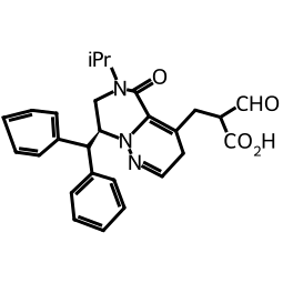 CC(C)N1C[C@H](C(c2ccccc2)c2ccccc2)N2N=CCC(CC(C=O)C(=O)O)=C2C1=O